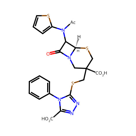 CC(=O)N(c1cccs1)C1C(=O)N2CC(CSc3nnc(C(=O)O)n3-c3ccccc3)(C(=O)O)CS[C@H]12